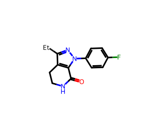 CCc1nn(-c2ccc(F)cc2)c2c1CCNC2=O